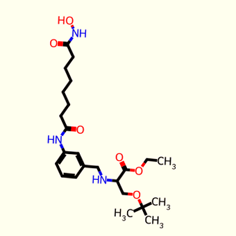 CCOC(=O)C(COC(C)(C)C)NCc1cccc(NC(=O)CCCCCCC(=O)NO)c1